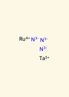 [N-3].[N-3].[N-3].[Ru+4].[Ta+5]